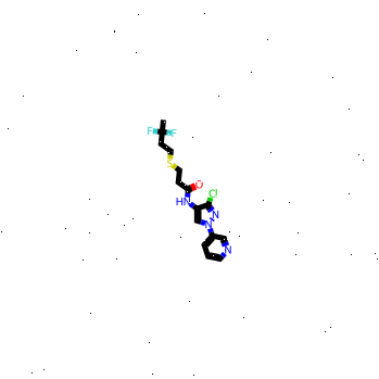 CC(F)(F)CCSCCC(=O)Nc1cn(-c2cccnc2)nc1Cl